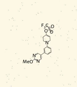 COc1ncc(-c2cccc(N3CC=C(OS(=O)(=O)C(F)(F)F)CC3)c2)cn1